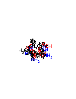 CC(C)C(C(=O)NO)C(=O)N[C@@H](CC(N)=O)C(=O)O.CC(C)C(C(=O)NOCc1ccccc1)C(=O)N[C@@H](CC(N)=O)C(=O)OC(C)(C)C